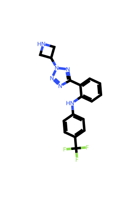 FC(F)(F)c1ccc(Nc2ccccc2-c2nnn(C3CNC3)n2)cc1